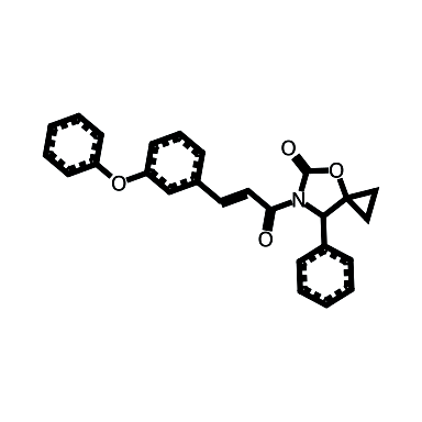 O=C(/C=C/c1cccc(Oc2ccccc2)c1)N1C(=O)OC2(CC2)C1c1ccccc1